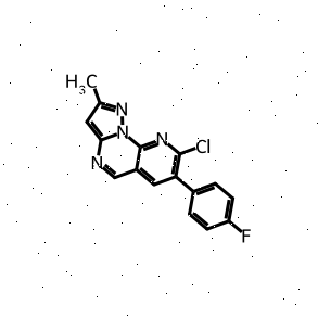 Cc1cc2ncc3cc(-c4ccc(F)cc4)c(Cl)nc3n2n1